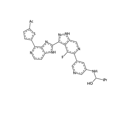 CC(=O)c1ccc(-c2nccc3[nH]c(-c4n[nH]c5cnc(-c6cncc(NC(O)C(C)C)c6)c(F)c45)nc23)s1